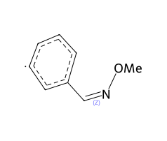 CO/N=C\c1c[c]ccc1